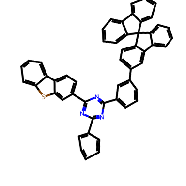 c1ccc(-c2nc(-c3cccc(-c4ccc5c(c4)-c4ccccc4C54c5ccccc5-c5ccccc54)c3)nc(-c3ccc4c(c3)sc3ccccc34)n2)cc1